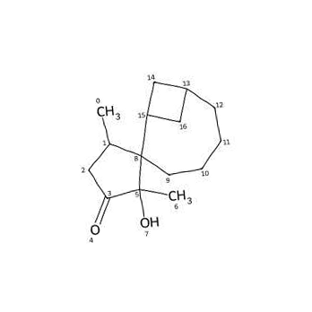 CC1CC(=O)C(C)(O)C12CCCCC1CC2C1